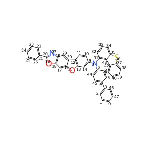 c1ccc(-c2ccc(N(c3ccc4c(c3)oc3cc5oc(-c6ccccc6)nc5cc34)c3cccc4sc5ccccc5c34)cc2)cc1